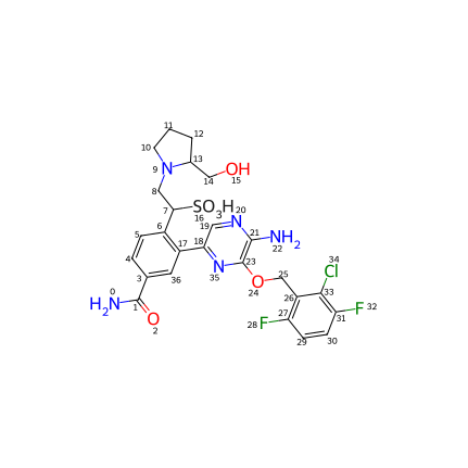 NC(=O)c1ccc(C(CN2CCCC2CO)S(=O)(=O)O)c(-c2cnc(N)c(OCc3c(F)ccc(F)c3Cl)n2)c1